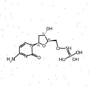 Nc1ccn([C@H]2C[C@H](O)[C@@H](CO[SH]=P(O)(O)O)O2)c(=O)n1